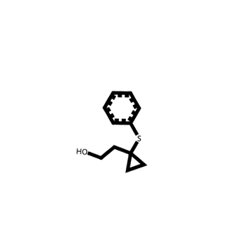 OCCC1(Sc2ccccc2)CC1